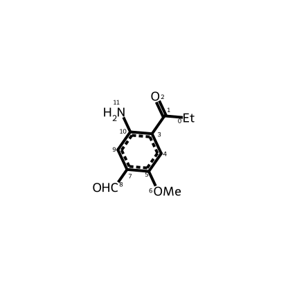 CCC(=O)c1cc(OC)c(C=O)cc1N